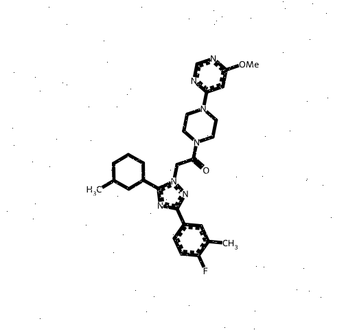 COc1cc(N2CCN(C(=O)Cn3nc(-c4ccc(F)c(C)c4)nc3C3CCCC(C)C3)CC2)ncn1